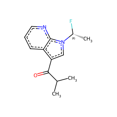 CC(C)C(=O)c1cn([C@@H](C)F)c2ncccc12